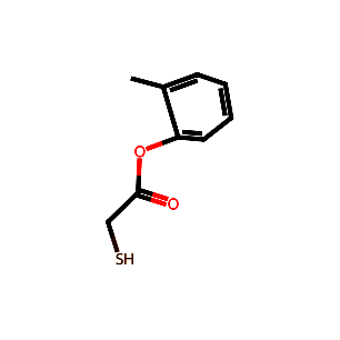 Cc1ccccc1OC(=O)CS